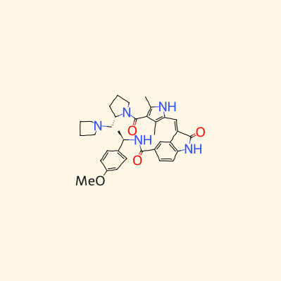 COc1ccc([C@@H](C)NC(=O)c2ccc3c(c2)C(=Cc2[nH]c(C)c(C(=O)N4CCC[C@H]4CN4CCCC4)c2C)C(=O)N3)cc1